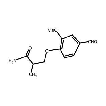 COc1cc(C=O)ccc1OCC(C)C(N)=O